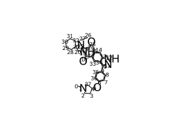 CN1CC[C@@H](Oc2ccc(-c3n[nH]c4ccc(C(=O)NCC5(N6CCOCC6)CCCCC5)cc34)cc2)C1